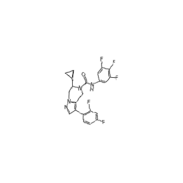 O=C(Nc1cc(F)c(F)c(F)c1)N1Cc2c(-c3ccc(F)cc3F)cnn2CC1C1CC1